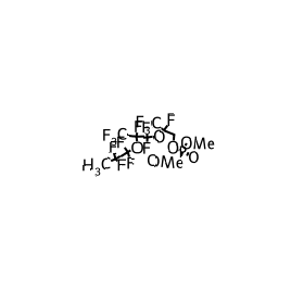 COP(=O)(OC)OCC(F)(OC(F)(F)C(F)(OC(F)(F)C(C)(F)F)C(F)(F)F)C(F)(F)F